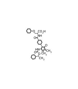 CC(OC(=O)Nc1c(-c2ccc(C(=O)NC(COc3ccccc3)C(=O)O)cc2)c(=O)n(C)n1C)c1ccccc1